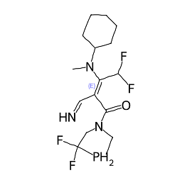 CCN(CC(F)(F)P)C(=O)/C(C=N)=C(\C(F)F)N(C)C1CCCCC1